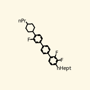 CCCCCCCc1ccc(-c2ccc(-c3ccc(C4CCC(CCC)CC4)c(F)c3)cc2)c(F)c1F